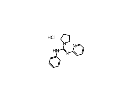 Cl.c1ccc(NC(=Nc2ccccn2)N2CCCC2)cc1